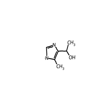 CC1=C(C(C)O)N=C[N]1